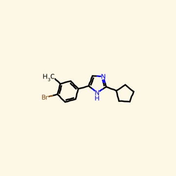 Cc1cc(-c2cnc(C3CCCC3)[nH]2)ccc1Br